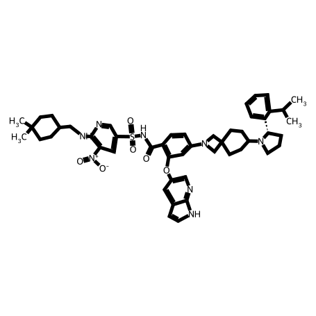 CC(C)c1ccccc1[C@@H]1CCCN1C1CCC2(CC1)CN(c1ccc(C(=O)NS(=O)(=O)c3cnc(NCC4CCC(C)(C)CC4)c([N+](=O)[O-])c3)c(Oc3cnc4[nH]ccc4c3)c1)C2